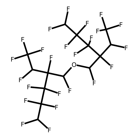 FC(F)C(F)(F)C(F)(F)C(F)(C(F)OC(F)C(F)(C(F)C(F)(F)F)C(F)(F)C(F)(F)C(F)F)C(F)C(F)(F)F